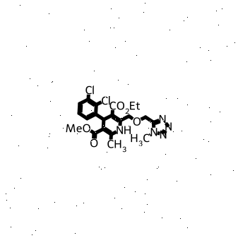 CCOC(=O)C1=C(COCc2nnnn2C)NC(C)=C(C(=O)OC)C1c1cccc(Cl)c1Cl